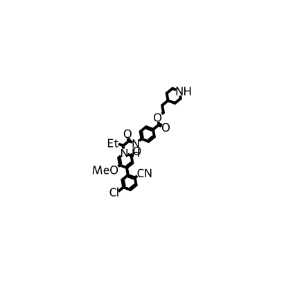 CCC(C(=O)Nc1ccc(C(=O)OCCC2CCNCC2)cc1)n1cc(OC)c(-c2cc(Cl)ccc2C#N)cc1=O